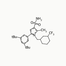 Cc1c(S(N)(=O)=O)cc(-c2cc(C(C)(C)C)cc(C(C)(C)C)c2)n1CC1CCCC(C(F)(F)F)C1